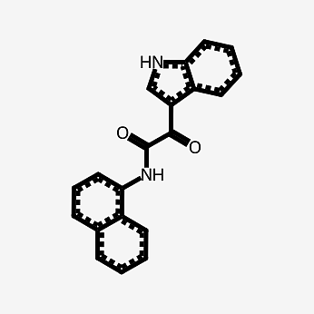 O=C(Nc1cccc2ccccc12)C(=O)c1c[nH]c2ccccc12